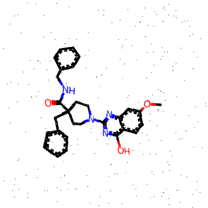 COc1ccc2c(O)nc(N3CCC(Cc4ccccc4)(C(=O)NCc4ccccc4)CC3)nc2c1